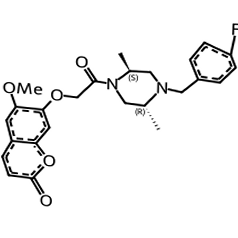 COc1cc2ccc(=O)oc2cc1OCC(=O)N1C[C@@H](C)N(Cc2ccc(F)cc2)C[C@@H]1C